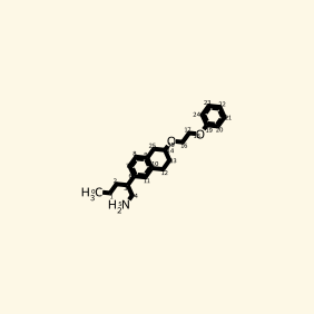 CCCC(CN)c1ccc2c(c1)CCC(OCCOc1ccccc1)C2